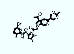 CC(=O)c1cn(CC(=O)N2[C@H](C)[C@@H](C)C[C@H]2C(=O)Nc2nc(Br)ccc2C)c2cnc(-c3cnc(C)nc3)cc12